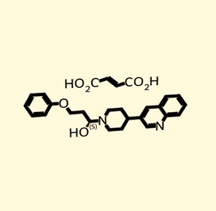 O=C(O)C=CC(=O)O.O[C@@H](CCOc1ccccc1)N1CCC(c2cnc3ccccc3c2)CC1